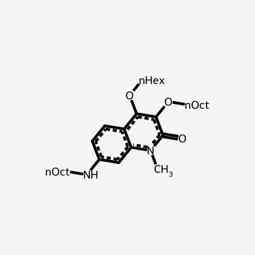 CCCCCCCCNc1ccc2c(OCCCCCC)c(OCCCCCCCC)c(=O)n(C)c2c1